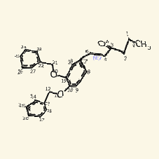 CCCC(=O)/C=C/c1ccc(OCc2ccccc2)c(OCc2ccccc2)c1